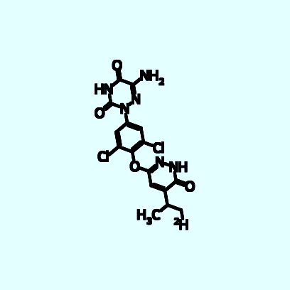 [2H]CC(C)c1cc(Oc2c(Cl)cc(-n3nc(N)c(=O)[nH]c3=O)cc2Cl)n[nH]c1=O